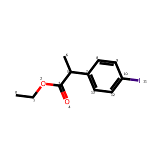 CCOC(=O)C(C)c1ccc(I)cc1